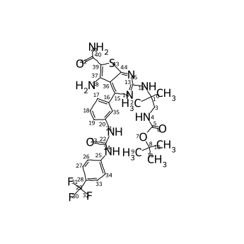 CC(C)(CNC(=O)OC(C)(C)C)Nc1nc(-c2cccc(NC(=O)Nc3ccc(C(F)(F)F)cc3)c2)c2c(N)c(C(N)=O)sc2n1